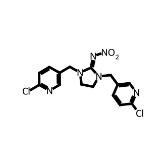 O=[N+]([O-])N=C1N(Cc2ccc(Cl)nc2)CCN1Cc1ccc(Cl)nc1